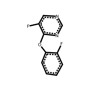 Fc1[c]ncnc1Oc1ccccc1F